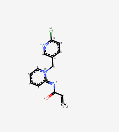 C=CC(=O)N=c1ccccn1Cc1ccc(Cl)nc1